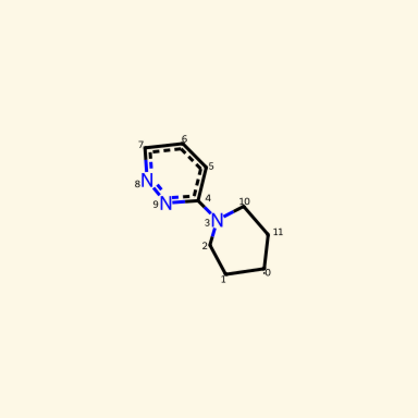 [CH]1CCN(c2cccnn2)CC1